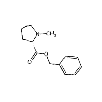 CN1CCC[C@H]1C(=O)OCc1ccccc1